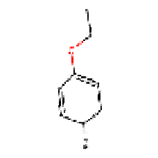 CCOC1=CC[C@H](C)C=C1